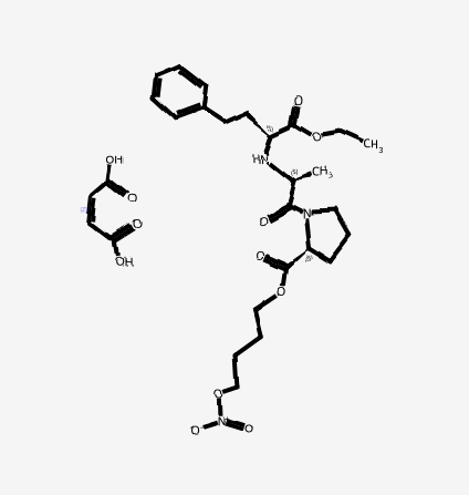 CCOC(=O)[C@H](CCc1ccccc1)N[C@@H](C)C(=O)N1CCC[C@H]1C(=O)OCCCCO[N+](=O)[O-].O=C(O)/C=C\C(=O)O